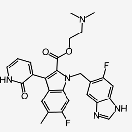 Cc1cc2c(-c3ccc[nH]c3=O)c(C(=O)OCCN(C)C)n(Cc3cc4nc[nH]c4cc3F)c2cc1F